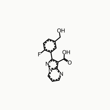 O=C(O)c1c(-c2cc(CO)ccc2F)nn2cccnc12